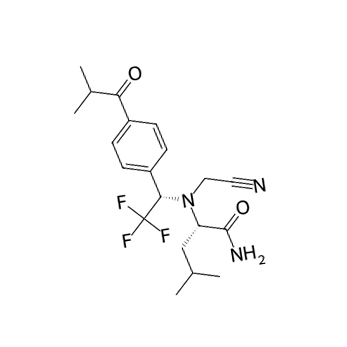 CC(C)C[C@@H](C(N)=O)N(CC#N)[C@@H](c1ccc(C(=O)C(C)C)cc1)C(F)(F)F